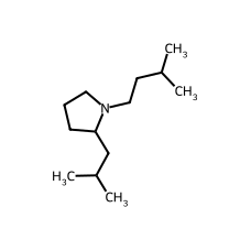 CC(C)CCN1CCCC1CC(C)C